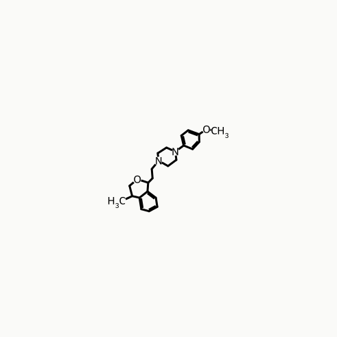 COc1ccc(N2CCN(CCC3OCC(C)c4ccccc43)CC2)cc1